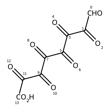 O=CC(=O)C(=O)C(=O)C(=O)C(=O)C(=O)C(=O)O